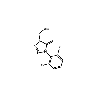 CCC(C)Cn1nnn(-c2c(F)cccc2F)c1=O